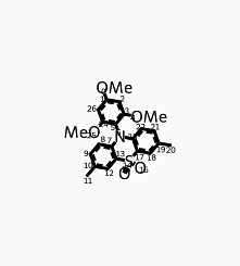 COc1cc(OC)c(N2c3ccc(C)cc3S(=O)(=O)c3cc(C)ccc32)c(OC)c1